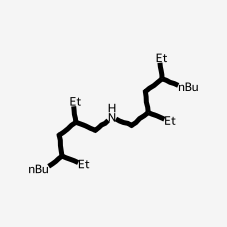 CCCCC(CC)CC(CC)CNCC(CC)CC(CC)CCCC